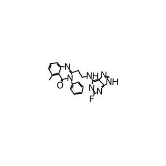 Cc1cccc2nc(CCNc3nc(F)nc4[nH]cnc34)n(-c3ccccc3)c(=O)c12